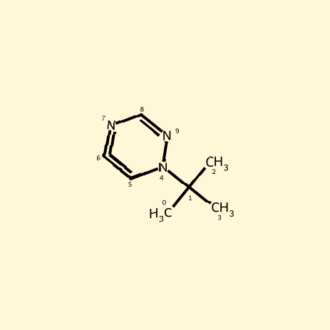 CC(C)(C)N1C=C=NC=N1